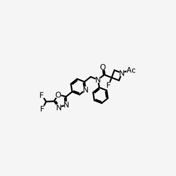 CC(=O)N1CC(F)(C(=O)N(Cc2ccc(-c3nnc(C(F)F)o3)cn2)c2ccccc2)C1